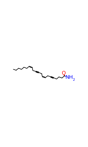 CCCCCC/C=C\CC#CC/C=C\CC#CCCCC(N)=O